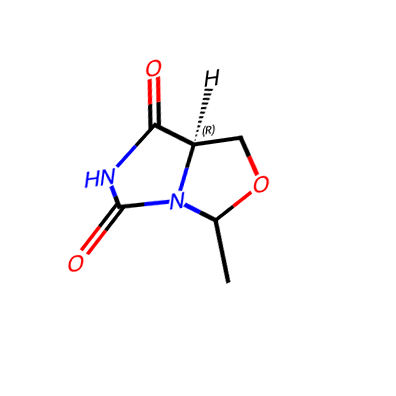 CC1OC[C@@H]2C(=O)NC(=O)N12